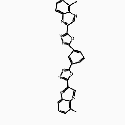 Cc1cccc2nc(-c3nnc(-c4cccc(-c5nnc(-c6cnc7c(C)cccc7n6)o5)c4)o3)cnc12